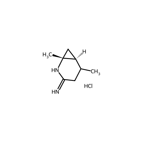 CC1CC(=N)N[C@]2(C)C[C@@H]12.Cl